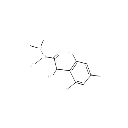 O=C(C(Br)c1c(Cl)cc(Cl)cc1Cl)N(F)N(F)F